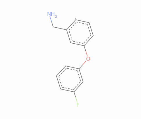 NCc1[c]ccc(Oc2cccc(F)c2)c1